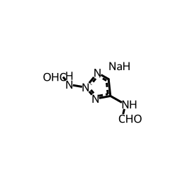 O=CNc1cnn(NC=O)n1.[NaH]